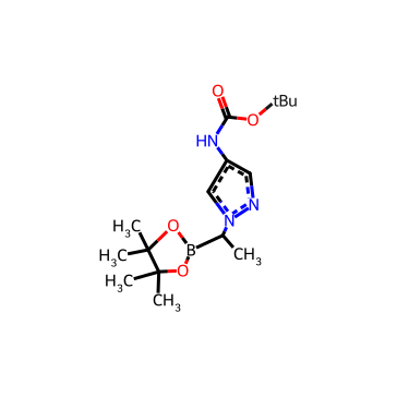 CC(B1OC(C)(C)C(C)(C)O1)n1cc(NC(=O)OC(C)(C)C)cn1